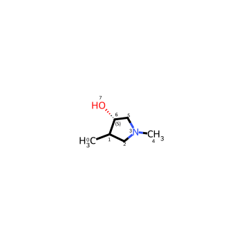 CC1CN(C)C[C@H]1O